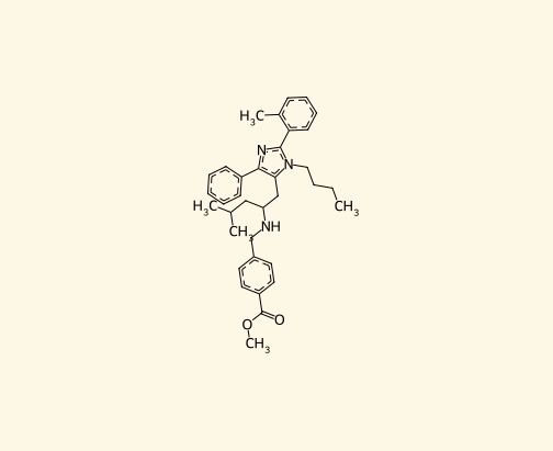 CCCCn1c(-c2ccccc2C)nc(-c2ccccc2)c1CC(CC(C)C)NCc1ccc(C(=O)OC)cc1